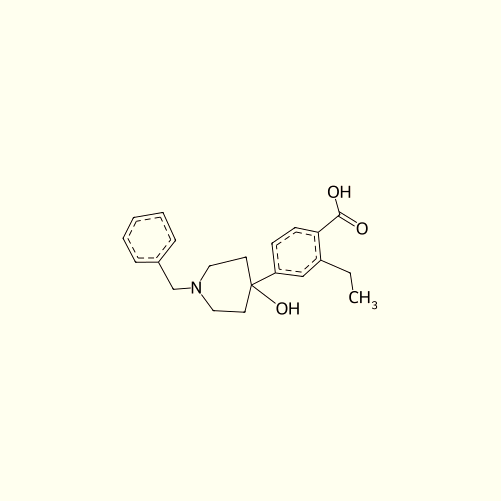 CCc1cc(C2(O)CCN(Cc3ccccc3)CC2)ccc1C(=O)O